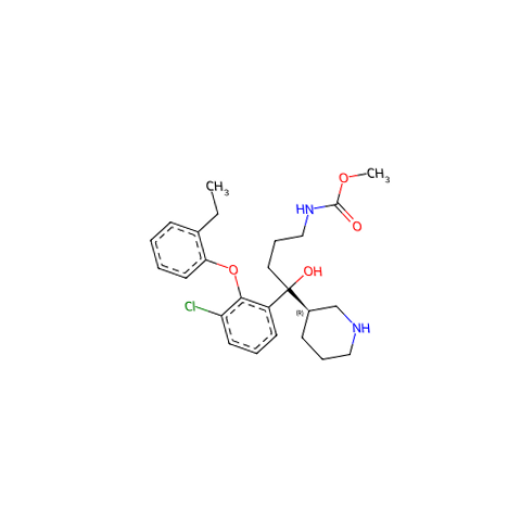 CCc1ccccc1Oc1c(Cl)cccc1C(O)(CCCNC(=O)OC)[C@@H]1CCCNC1